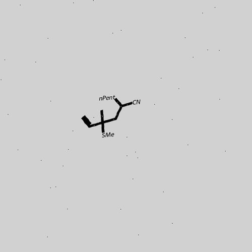 C=CC(C)(CC(C#N)CCCCC)SC